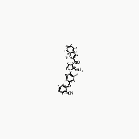 Cc1cc(Oc2ccccc2C#N)ccc1-n1ncc(C(=O)c2cc3ccccc3[nH]2)c1N